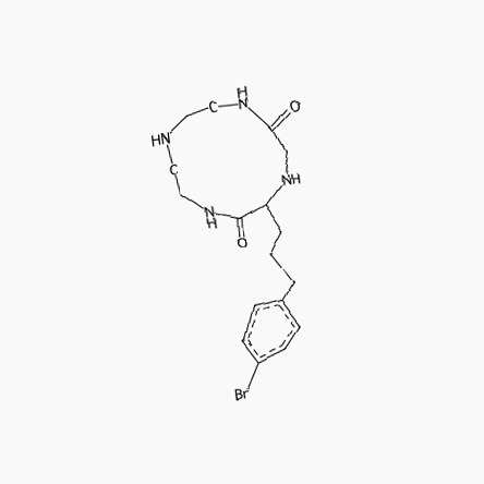 O=C1CNC(CCCc2ccc(Br)cc2)C(=O)NCCNCCN1